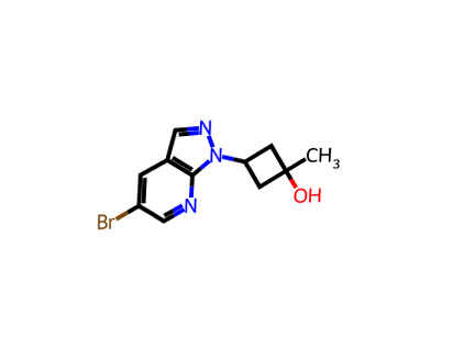 CC1(O)CC(n2ncc3cc(Br)cnc32)C1